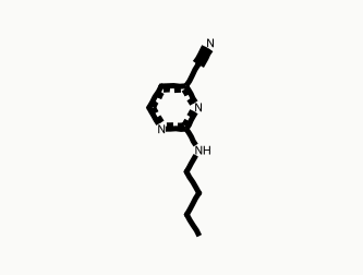 CCCCNc1nccc(C#N)n1